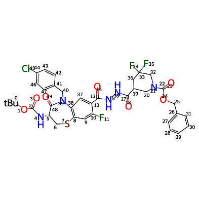 CC(C)(C)OC(=O)N[C@H]1CSc2cc(F)c(C(=O)NNC(=O)C3CN(C(=O)OCc4ccccc4)CC(F)(F)C3)cc2N(Cc2ccc(Cl)cc2)C1=O